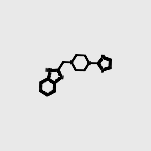 c1ccc2[nH]c(CN3CCN(c4nccs4)CC3)nc2c1